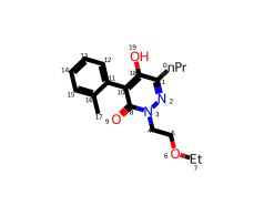 CCCc1nn(CCOCC)c(=O)c(-c2ccccc2C)c1O